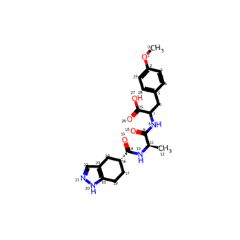 COc1ccc(CC(NC(=O)[C@@H](C)NC(=O)[C@@H]2CCc3[nH]ncc3C2)C(=O)O)cc1